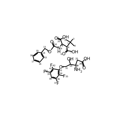 CC(C)(C)C(C(=O)O)C(NC(=O)OCc1ccccc1)C(=O)O.N[C@@H](CC(=O)O)C(O)COc1c(F)c(F)cc(F)c1F